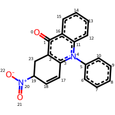 O=c1c2c(n(-c3ccccc3)c3ccccc13)C=CC([N+](=O)[O-])C2